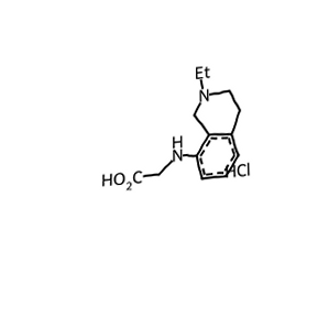 CCN1CCc2cccc(NCC(=O)O)c2C1.Cl